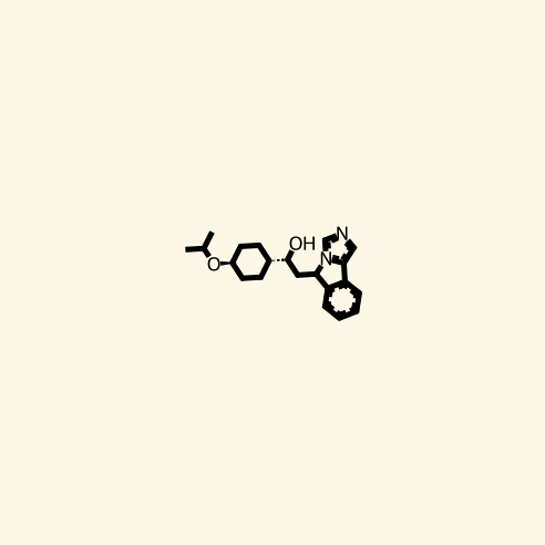 CC(C)O[C@H]1CC[C@H](C(O)CC2c3ccccc3-c3cncn32)CC1